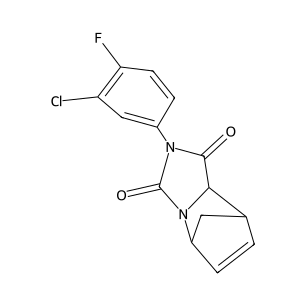 O=C1C2C3C=CC(C3)N2C(=O)N1c1ccc(F)c(Cl)c1